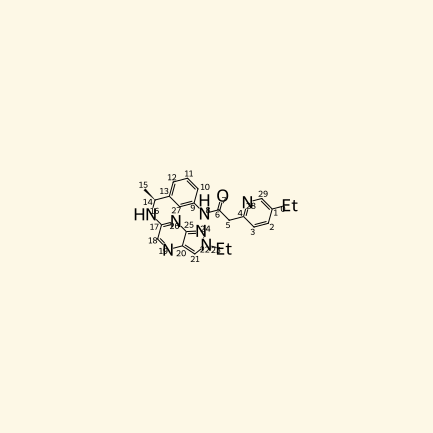 CCc1ccc(CC(=O)Nc2cccc([C@H](C)Nc3cnc4cn(CC)nc4n3)c2)nc1